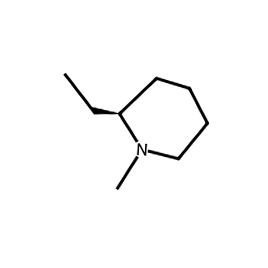 CC[C@H]1CCCCN1C